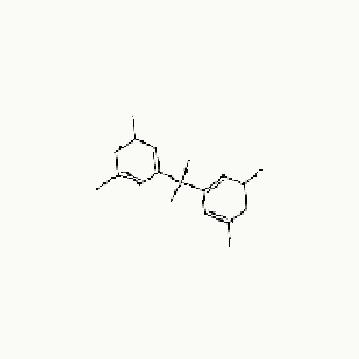 CC1=CC(C(C)(C)C2=CC(C)CC(C)=C2)=CC(C)C1